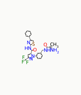 C[C@H](N)C(=O)NCc1cccc(-n2nc(C(F)(F)F)cc2C(=O)Nc2nc(-c3ccccc3)cs2)c1